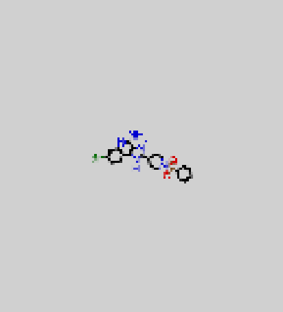 Nc1nc2cc(Br)ccc2c2[nH]c(C3CCN(S(=O)(=O)c4ccccc4)CC3)nc12